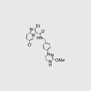 CCc1nc2ccc(Cl)cn2c1C(=O)NCc1ccc(N2CCNC(OC)=N2)cc1